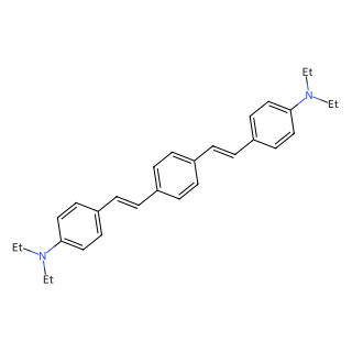 CCN(CC)c1ccc(/C=C/c2ccc(/C=C/c3ccc(N(CC)CC)cc3)cc2)cc1